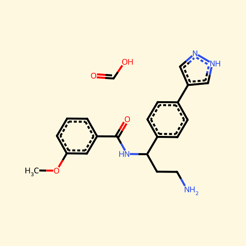 COc1cccc(C(=O)NC(CCN)c2ccc(-c3cn[nH]c3)cc2)c1.O=CO